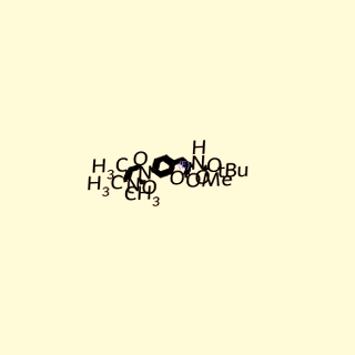 COC(=O)/C(=C\c1ccc(-n2c(=O)c(C)c(C)n(C)c2=O)cc1)NC(=O)OC(C)(C)C